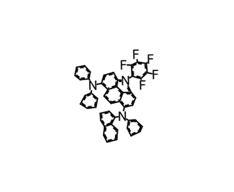 Fc1c(F)c(F)c(-n2c3ccc(N(c4ccccc4)c4ccccc4)c4ccc5c(N(c6ccccc6)c6cccc7ccccc67)ccc2c5c43)c(F)c1F